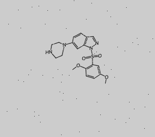 COc1ccc(OC)c(S(=O)(=O)n2ncc3ccc(N4CCNCC4)cc32)c1